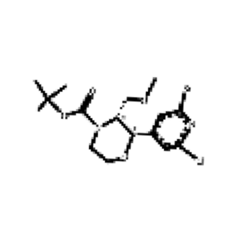 COC[C@@H]1[C@@H](c2cc(Cl)nc(Br)c2)OCCN1C(=O)OC(C)(C)C